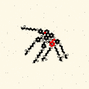 C=CC(=O)OCCCCCCOc1ccc(C(=O)Oc2ccc3c4ccccc4c4c(OC(=O)c5ccc(OCCCCCCOC(=O)C=C)cc5)c(OC(=O)c5ccc(OCCCCCCOC(=O)C=C)cc5)c(OC(=O)c5ccc(OCCCCCCOC(=O)C=C)cc5)c(OC(=O)c5ccc(OCCCCCCOC(=O)C=C)cc5)c4c3c2OC(=O)c2ccc(OCCCCCCOC(=O)C=C)cc2)cc1